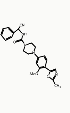 COc1cc(N2CCN(C(=O)NC(C#N)c3ccccc3)CC2)ccc1-c1cnc(C)o1